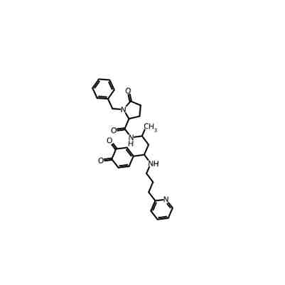 CC(CC(NCCCc1ccccn1)C1=CC(=O)C(=O)C=C1)NC(=O)C1CCC(=O)N1Cc1ccccc1